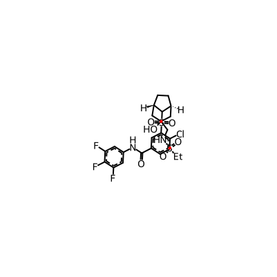 CCS(=O)(=O)NCC1(O)C[C@@H]2CC[C@@H](C1)C2S(=O)(=O)c1cc(C(=O)Nc2cc(F)c(F)c(F)c2)ccc1Cl